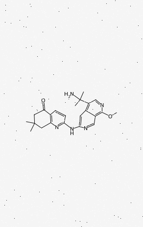 COc1ncc(C(C)(C)N)c2cc(Nc3ccc4c(n3)CC(C)(C)CC4=O)ncc12